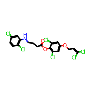 O=C(CCCNc1cc(Cl)ccc1Cl)Oc1c(Cl)cc(OCC=C(Cl)Cl)cc1Cl